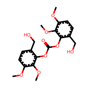 COc1ccc(CO)c(OC(=O)Oc2c(CO)ccc(OC)c2OC)c1OC